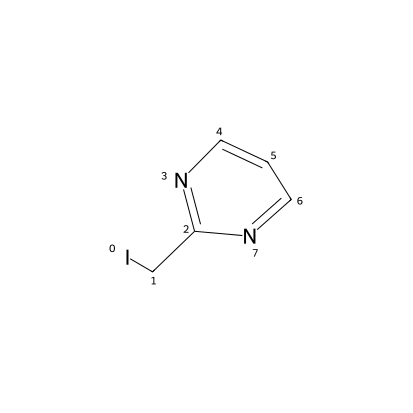 ICc1ncccn1